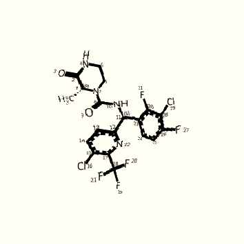 C[C@@H]1C(=O)NCCN1C(=O)N[C@H](c1ccc(Cl)c(C(F)(F)F)n1)c1ccc(F)c(Cl)c1F